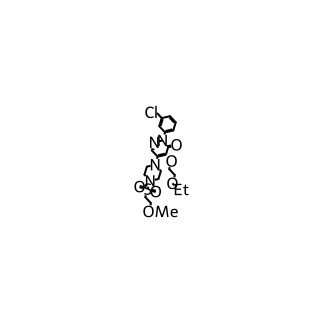 CCOCCOc1c(N2CCN(S(=O)(=O)CCOC)CC2)cnn(-c2cccc(Cl)c2)c1=O